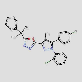 Cc1c(-c2nnc(C(C)(C)c3ccccc3)o2)nn(-c2ccccc2Cl)c1-c1ccc(Cl)cc1